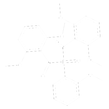 COc1ccccc1P(=O)(C(=O)c1c(OC)cccc1OC)C(=O)c1c(OC)cccc1OC